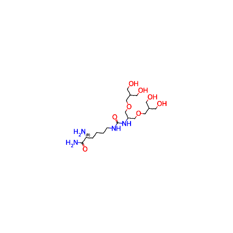 NC(=O)[C@H](N)CCCCNC(=O)NC(COCC(CO)CO)COCC(CO)CO